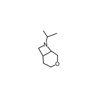 CC(C)N1CC2CCOCC21